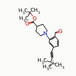 CC(C)(C)OC(=O)C1CCN(c2cc(C#C[Si](C)(C)C)ccc2C=O)CC1